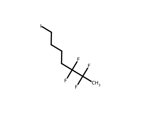 CC(F)(F)C(F)(F)CCCCI